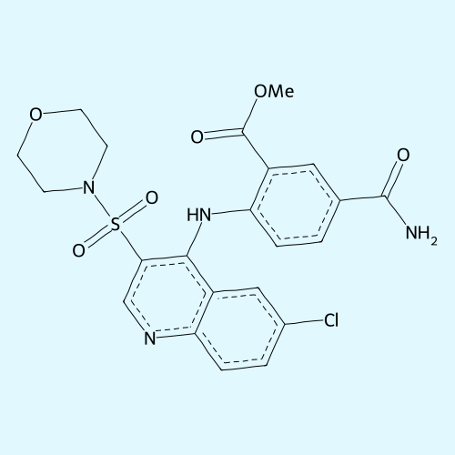 COC(=O)c1cc(C(N)=O)ccc1Nc1c(S(=O)(=O)N2CCOCC2)cnc2ccc(Cl)cc12